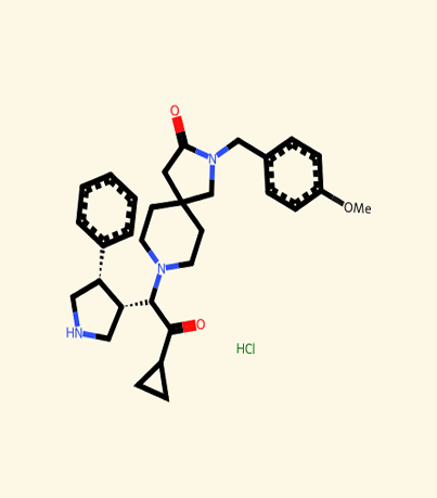 COc1ccc(CN2CC3(CCN(C(C(=O)C4CC4)[C@@H]4CNC[C@@H]4c4ccccc4)CC3)CC2=O)cc1.Cl